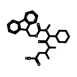 CC(CC(=O)O)N(C)C(=O)C(C1CCCCC1)N(C)C(=O)OCC1c2ccccc2-c2ccccc21